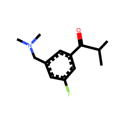 CC(C)C(=O)c1cc(F)cc(CN(C)C)c1